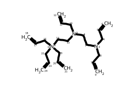 C=CCN(CC=C)CCN(CC=C)CC[N+](CC=C)(CC=C)CC=C